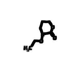 CCON1CCCOC1=O